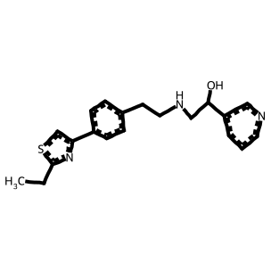 CCc1nc(-c2ccc(CCNCC(O)c3cccnc3)cc2)cs1